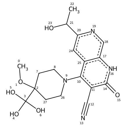 COC1(C(O)(O)O)CCN(c2c(C#N)c(=O)[nH]c3cnc(C(C)O)cc23)CC1